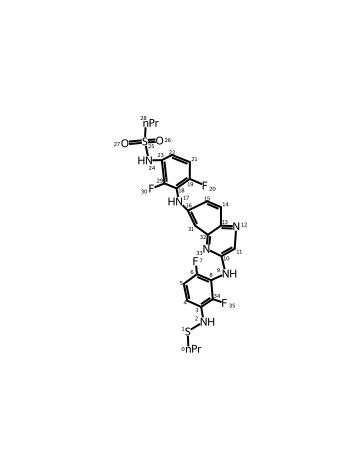 CCCSNc1ccc(F)c(Nc2cnc3ccc(Nc4c(F)ccc(NS(=O)(=O)CCC)c4F)cc3n2)c1F